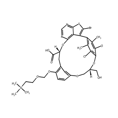 Cc1c(Cl)c2c(Cl)c(C)c1-c1c(Br)sc3ncnc(c13)O[C@@H](C(=O)O)Cc1cc(ccc1OCOCC[Si](C)(C)C)OC[C@@H](CO)O2